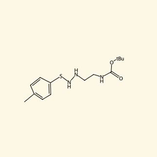 Cc1ccc(SNNCCNC(=O)OC(C)(C)C)cc1